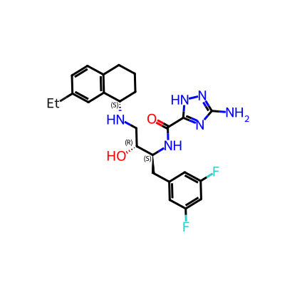 CCc1ccc2c(c1)[C@@H](NC[C@@H](O)[C@H](Cc1cc(F)cc(F)c1)NC(=O)c1nc(N)n[nH]1)CCC2